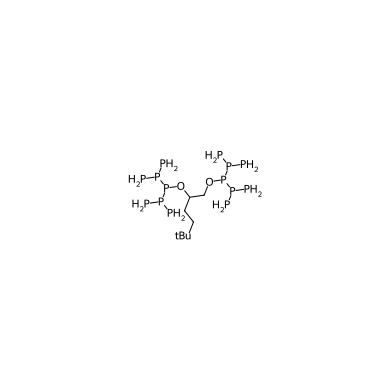 CC(C)(C)CCC(COP(P(P)P)P(P)P)OP(P(P)P)P(P)P